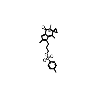 CC1=C(CCCOS(=O)(=O)c2ccc(C)cc2)C2=C(C)C3(CC3)[C@H](C)C(=O)C2=C1